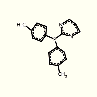 Cc1ccc(P(c2ccc(C)cc2)c2ncccn2)cc1